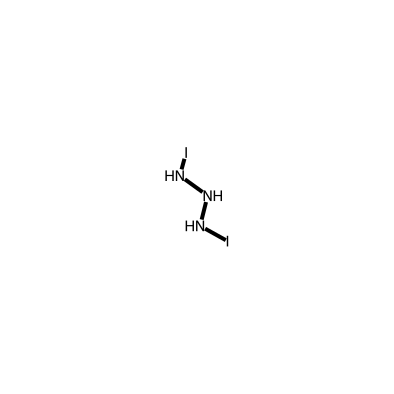 INNNI